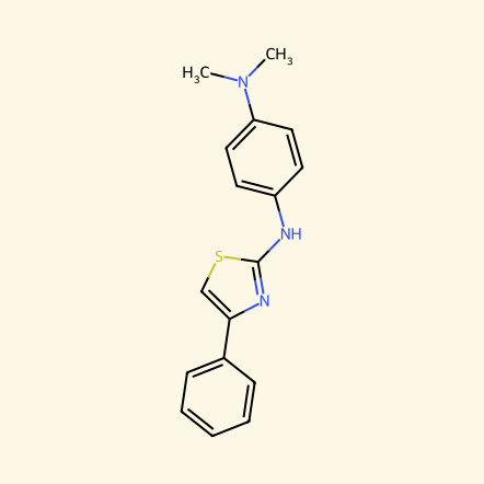 CN(C)c1ccc(Nc2nc(-c3ccccc3)cs2)cc1